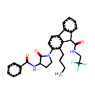 CCCCc1c(N2CCC(NC(=O)c3ccccc3)C2=O)ccc2c1C(C(=O)NCC(F)(F)F)c1ccccc1-2